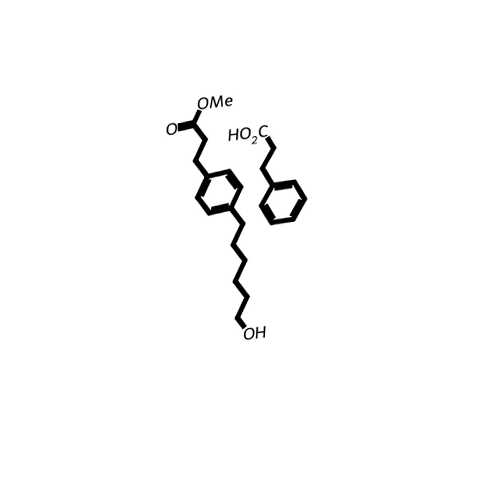 COC(=O)CCc1ccc(CCCCCCO)cc1.O=C(O)CCc1ccccc1